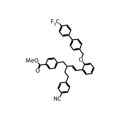 COC(=O)c1ccc(CC(C=Cc2ccccc2OCc2ccc(-c3ccc(C(F)(F)F)cc3)cc2)CCc2ccc(C#N)cc2)cc1